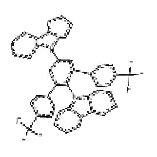 FC(F)(F)c1ccc(-c2cc(-n3c4ccccc4c4ccccc43)cc(-c3ccc(C(F)(F)F)cc3)c2-n2c3ccccc3c3ccccc32)cc1